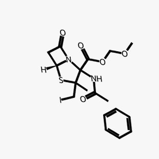 COCOC(=O)C1(NC(C)=O)N2C(=O)C[C@H]2SC1(C)CI.c1ccccc1